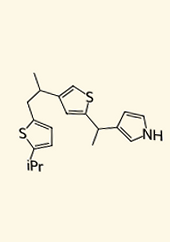 CC(C)c1ccc(CC(C)c2csc(C(C)c3cc[nH]c3)c2)s1